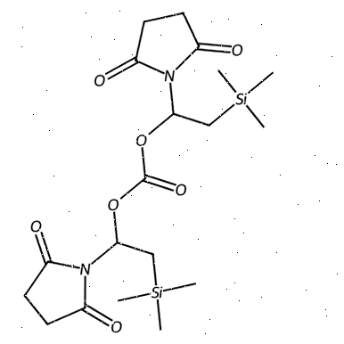 C[Si](C)(C)CC(OC(=O)OC(C[Si](C)(C)C)N1C(=O)CCC1=O)N1C(=O)CCC1=O